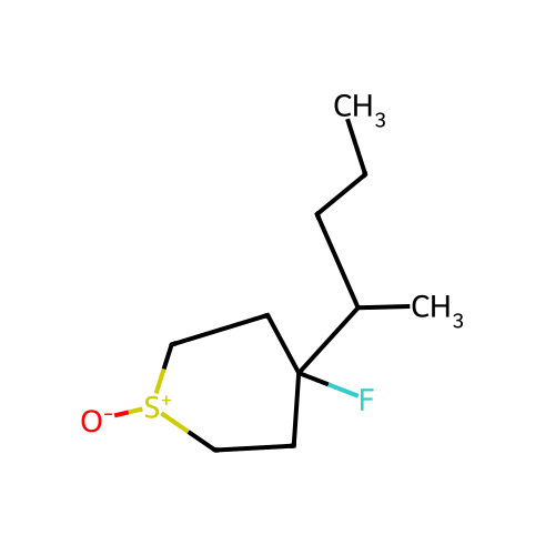 CCCC(C)C1(F)CC[S+]([O-])CC1